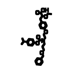 CCOC(Cc1ccc(OCCN(CCCOCc2ccccc2)C(=O)Oc2ccc(C(C)C)cc2)cc1)C(=O)O